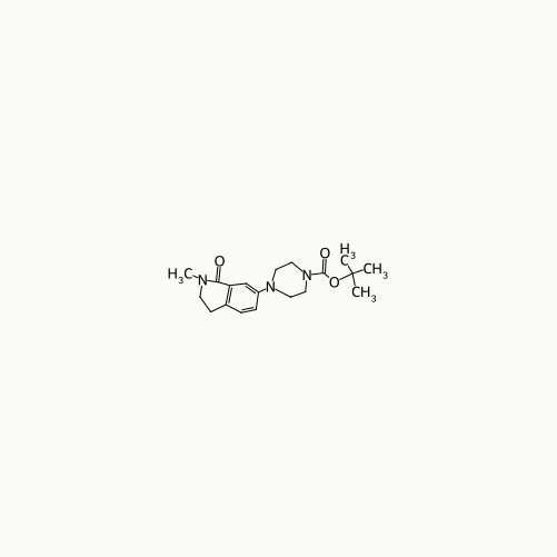 CN1CCc2ccc(N3CCN(C(=O)OC(C)(C)C)CC3)cc2C1=O